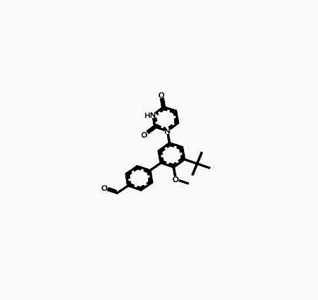 COc1c(-c2ccc(C=O)cc2)cc(-n2ccc(=O)[nH]c2=O)cc1C(C)(C)C